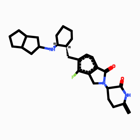 C=C1CCC(N2Cc3c(ccc(C[C@H]4CCCC[C@@H]4NC4CC5CCCC5C4)c3F)C2=O)C(=O)N1